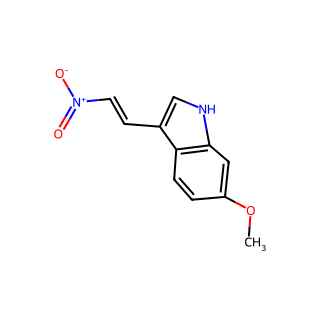 COc1ccc2c(/C=C/[N+](=O)[O-])c[nH]c2c1